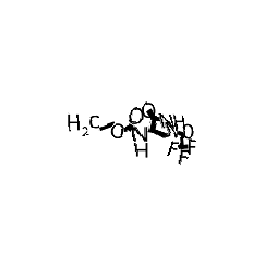 C=CCOC(=O)N[C@H]1CN(C(=O)C(F)(F)F)NC1=O